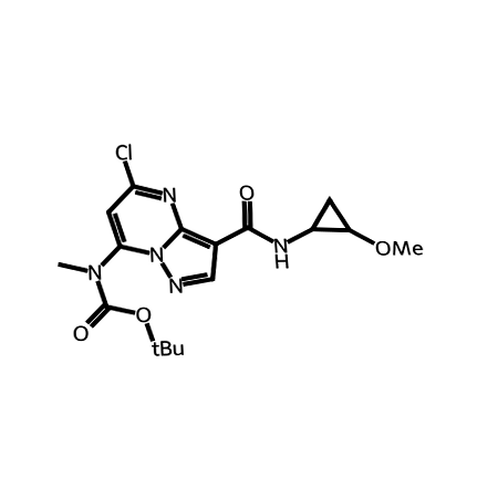 COC1CC1NC(=O)c1cnn2c(N(C)C(=O)OC(C)(C)C)cc(Cl)nc12